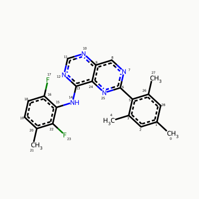 Cc1cc(C)c(-c2ncc3ncnc(Nc4c(F)ccc(C)c4F)c3n2)c(C)c1